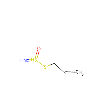 C=CCS[SH](=N)=O